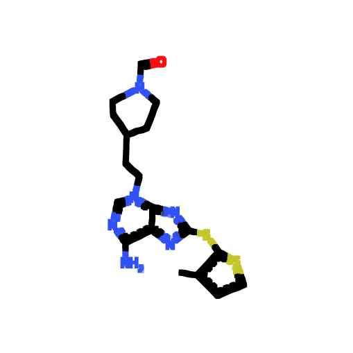 Cc1ccsc1Sc1nc2c(N)ncn(CCC3CCN(C=O)CC3)c-2n1